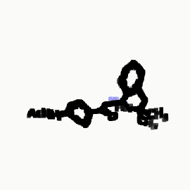 CC(=O)Nc1ccc(C(=O)/C=C2\NC(C)(C)Cc3ccccc32)cc1